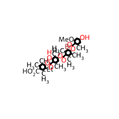 CCc1c(C)c(C(=O)O)c(C)c(C)c1OC(=O)c1c(C)cc(OC(=O)c2c(C)c(C)c(OC(=O)c3c(C)cc(O)cc3OC)c(Br)c2C)c(C)c1O